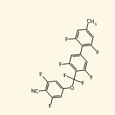 Cc1cc(F)c(-c2cc(F)c(C(F)(F)Oc3cc(F)c(C#N)c(F)c3)c(F)c2)c(F)c1